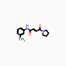 Cc1cccc(NC(=O)C=CC(=O)N2CCCC2)c1